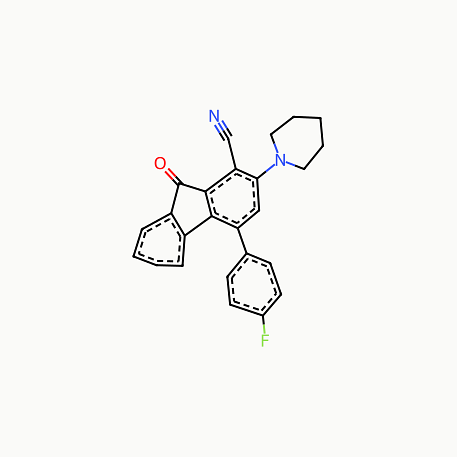 N#Cc1c(N2CCCCC2)cc(-c2ccc(F)cc2)c2c1C(=O)c1ccccc1-2